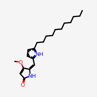 CCCCCCCCCCCc1ccc(C=C2NC(=O)C=C2OC)[nH]1